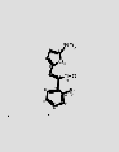 O=CC(=Cc1ccc([N+](=O)[O-])o1)c1ccccc1Br